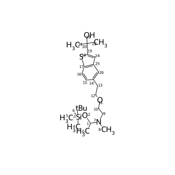 CC(O[Si](C)(C)C(C)(C)C)N(C)CCOCCc1ccc2sc(C(C)(C)O)cc2c1